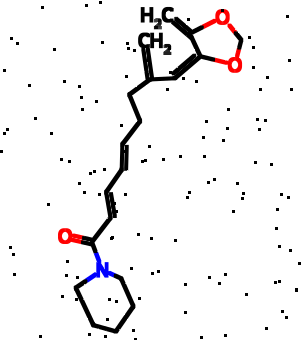 C=C(/C=C1/OCOC1=C)CC/C=C/C=C/C(=O)N1CCCCC1